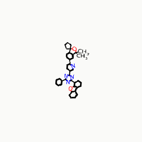 CC1(C)OC2(CCCC2)c2ccc(-c3ccc(-c4nc(-c5ccccc5)nc(-c5cccc6c5oc5ccccc56)n4)cn3)cc21